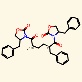 C[C@@H](CC[C@H](Cc1ccccc1)C(=O)N1C(=O)OCC1Cc1ccccc1)C(=O)N1C(=O)OCC1Cc1ccccc1